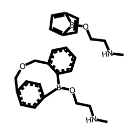 CNCCOB1C2=CC=C1C=C2.CNCCOB1c2ccc(cc2)COCc2ccccc21